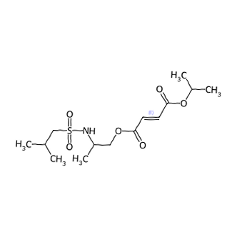 CC(C)CS(=O)(=O)NC(C)COC(=O)/C=C/C(=O)OC(C)C